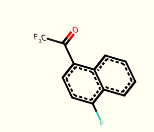 O=C(c1ccc(F)c2ccccc12)C(F)(F)F